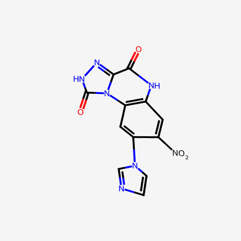 O=c1[nH]c2cc([N+](=O)[O-])c(-n3ccnc3)cc2n2c(=O)[nH]nc12